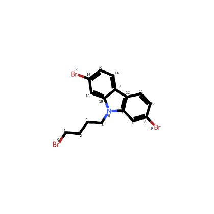 BrCCCCn1c2cc(Br)ccc2c2ccc(Br)cc21